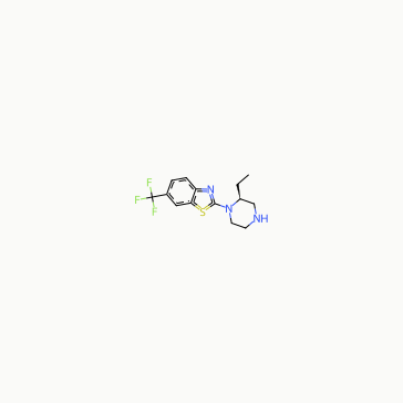 CC[C@H]1CNCCN1c1nc2ccc(C(F)(F)F)cc2s1